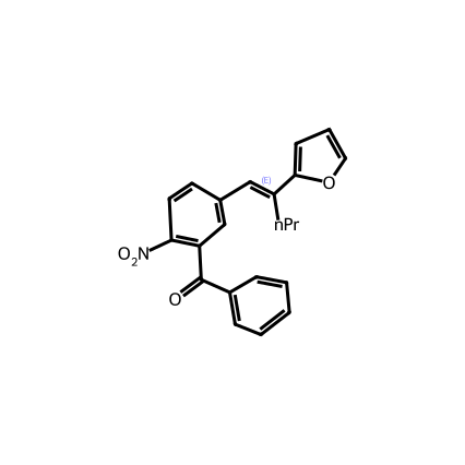 CCC/C(=C\c1ccc([N+](=O)[O-])c(C(=O)c2ccccc2)c1)c1ccco1